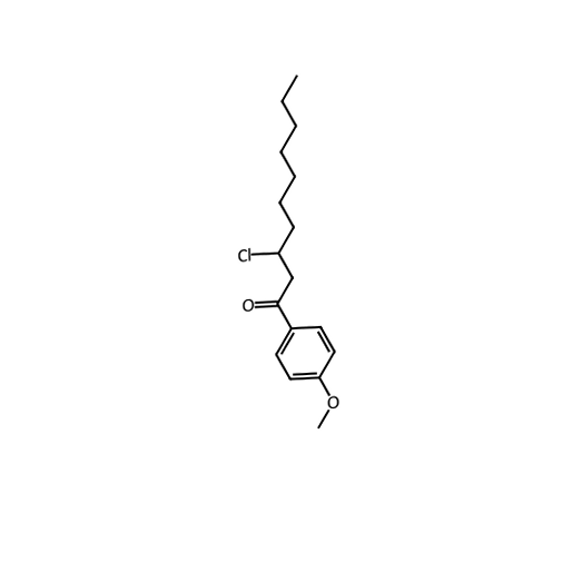 CCCCCCCC(Cl)CC(=O)c1ccc(OC)cc1